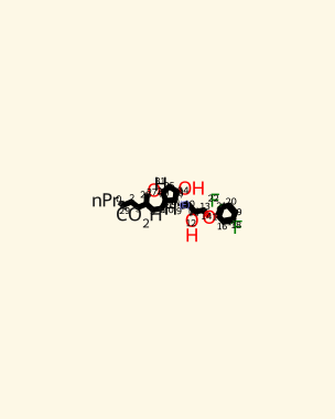 CCCC(CCC1CC[C@@H]2[C@@H](/C=C/[C@@H](O)COc3cc(F)ccc3F)[C@H](O)C[C@H]2OC1)C(=O)O